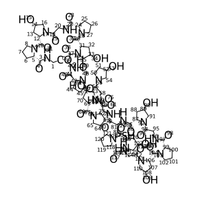 O=C(O)CNC(=O)[C@@H]1CCCN1C(=O)[C@@H]1C[C@@H](O)CN1C(=O)CNC(=O)[C@@H]1CCCN1C(=O)[C@@H]1C[C@@H](O)CN1C(=O)CNC(=O)[C@@H]1CCCN1C(=O)[C@@H]1C[C@@H](O)CN1C(=O)CNC(=O)[C@@H]1CCCN1C(=O)[C@@H]1C[C@@H](O)CN1C(=O)CNC(=O)[C@H](CS)NC(=O)[C@@H]1C[C@@H](O)CN1C(=O)CNC(=O)[C@@H]1CCCN1C(=O)[C@@H]1C[C@@H](O)CN1C(=O)CNC(=O)[C@@H]1CCCN1C(=O)[C@@H]1C[C@@H](O)CN1